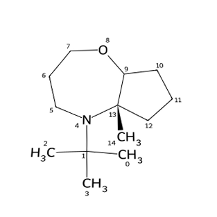 CC(C)(C)N1CCCOC2CCC[C@@]21C